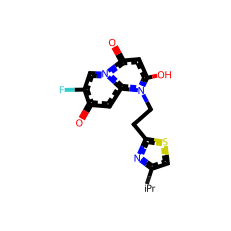 CC(C)c1csc(CCn2c(O)cc(=O)n3cc(F)c(=O)cc23)n1